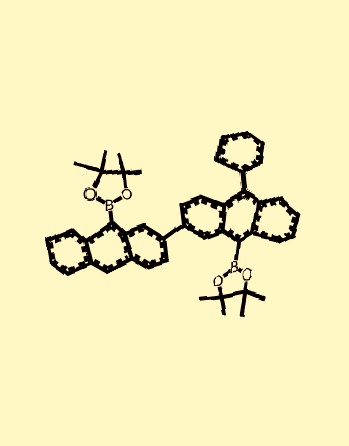 CC1(C)OB(c2c3ccccc3cc3ccc(-c4ccc5c(-c6ccccc6)c6ccccc6c(B6OC(C)(C)C(C)(C)O6)c5c4)cc23)OC1(C)C